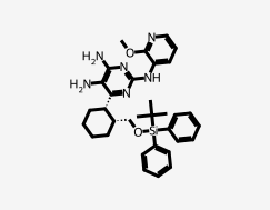 COc1ncccc1Nc1nc(N)c(N)c([C@H]2CCCC[C@H]2CO[Si](c2ccccc2)(c2ccccc2)C(C)(C)C)n1